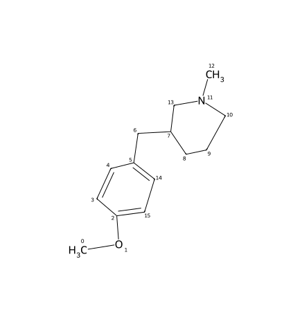 COc1ccc(CC2CCCN(C)C2)cc1